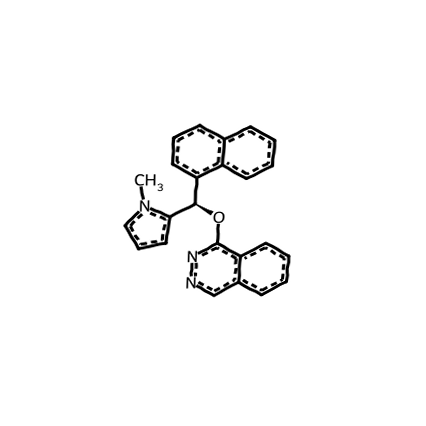 Cn1cccc1[C@H](Oc1nncc2ccccc12)c1cccc2ccccc12